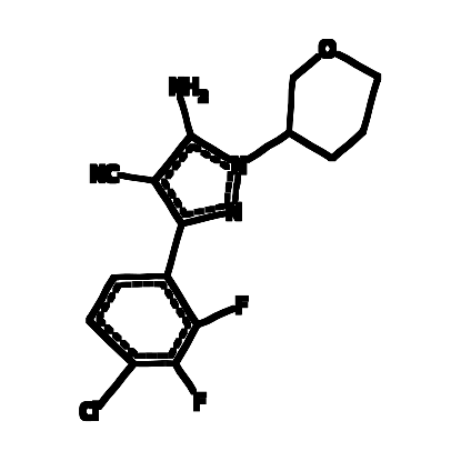 N#Cc1c(-c2ccc(Cl)c(F)c2F)nn(C2CCCOC2)c1N